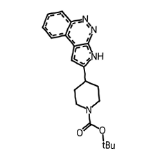 CC(C)(C)OC(=O)N1CCC(c2cc3c(nnc4ccccc43)[nH]2)CC1